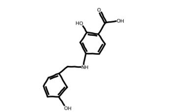 O=C(O)c1ccc(NCc2cccc(O)c2)cc1O